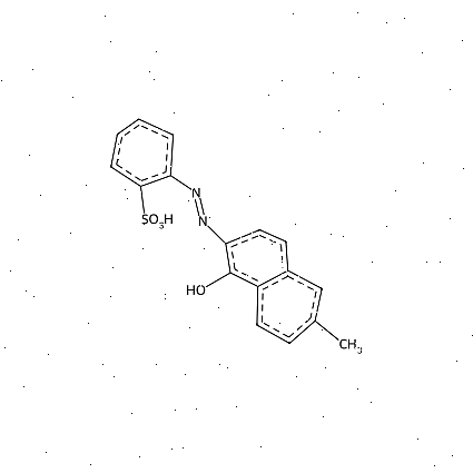 Cc1ccc2c(O)c(N=Nc3ccccc3S(=O)(=O)O)ccc2c1